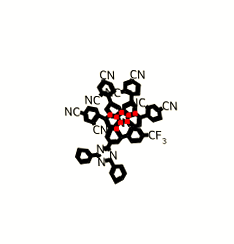 N#Cc1ccc(-c2ccc3c(c2)c2cc(-c4ccc(C#N)cc4C#N)ccc2n3-c2ccc(-c3nc(-c4ccccc4)nc(-c4ccccc4)n3)cc2-c2ccc(C(F)(F)F)cc2-n2c3ccc(-c4ccc(C#N)cc4C#N)cc3c3cc(-c4ccc(C#N)cc4C#N)ccc32)c(C#N)c1